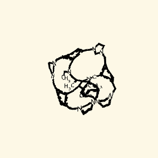 CCC1Cc2cc3cc(c2)CN2CCN(Cc4cc5cc(c4)C14C(C)CN(CC)Cc1cc(cc(c1)CN1CCN(Cc6cc(cc(c6)CN4C)CN4CCN(C5)C4)C1)CN1CCN(C3)C1)C2